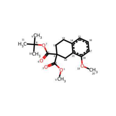 COC(=O)C1(C(=O)OC(C)(C)C)CCc2cccc(OC)c2C1